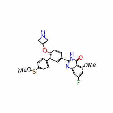 COSc1ccc(-c2cc(-c3nc4cc(F)cc(OC)c4c(=O)[nH]3)ccc2OC2CNC2)cc1